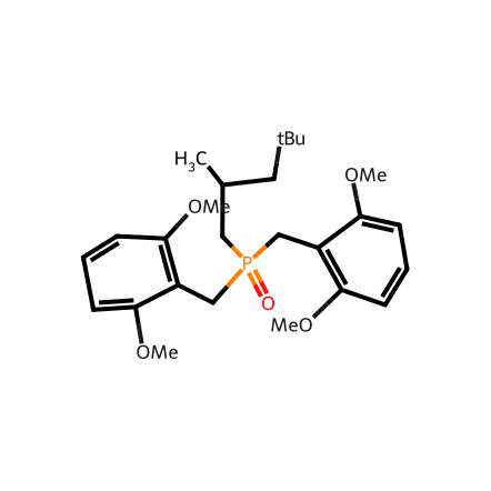 COc1cccc(OC)c1CP(=O)(Cc1c(OC)cccc1OC)CC(C)CC(C)(C)C